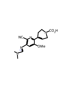 COc1cc(/N=C/N(C)C)c(C#N)nc1C1=CCN(C(=O)O)CC1